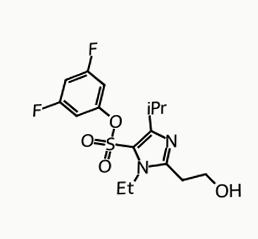 CCn1c(CCO)nc(C(C)C)c1S(=O)(=O)Oc1cc(F)cc(F)c1